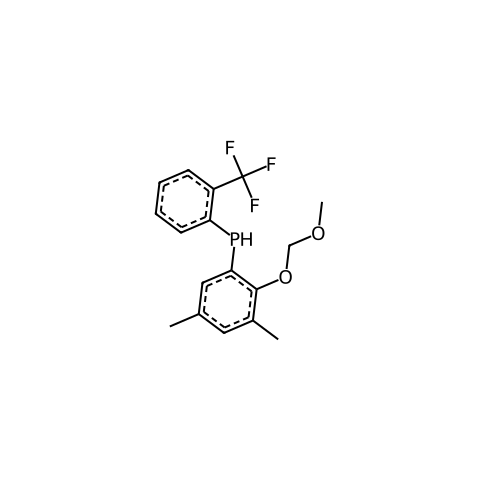 COCOc1c(C)cc(C)cc1Pc1ccccc1C(F)(F)F